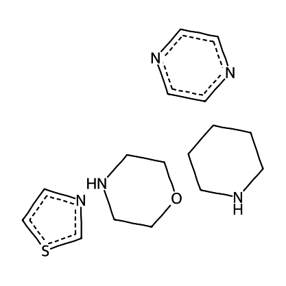 C1CCNCC1.C1COCCN1.c1cnccn1.c1cscn1